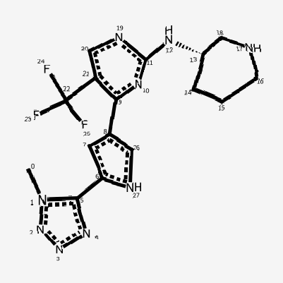 Cn1nnnc1-c1cc(-c2nc(N[C@H]3CCCNC3)ncc2C(F)(F)F)c[nH]1